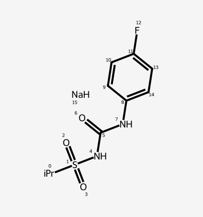 CC(C)S(=O)(=O)NC(=O)Nc1ccc(F)cc1.[NaH]